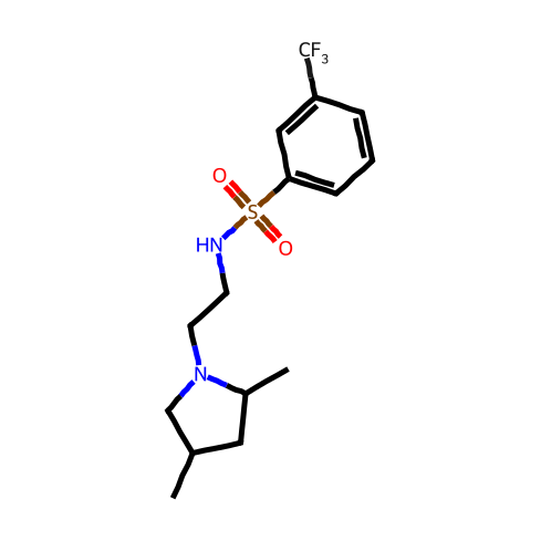 CC1CC(C)N(CCNS(=O)(=O)c2cccc(C(F)(F)F)c2)C1